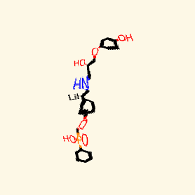 O=P(O)(COc1ccc(CCNC[C@H](O)COc2ccc(O)cc2)cc1)C1CCCCC1.[LiH]